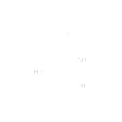 CCC(C)C(=N)C=O